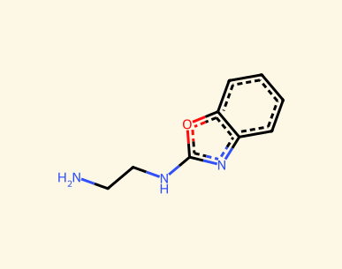 NCCNc1nc2ccccc2o1